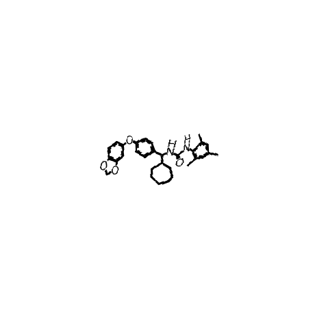 Cc1cc(C)c(NC(=O)NC(c2ccc(Oc3ccc4c(c3)OCO4)cc2)C2CCCCCC2)c(C)c1